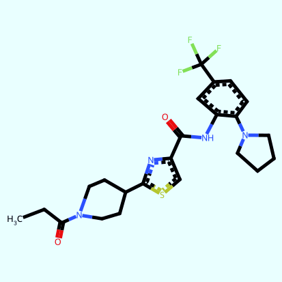 CCC(=O)N1CCC(c2nc(C(=O)Nc3cc(C(F)(F)F)ccc3N3CCCC3)cs2)CC1